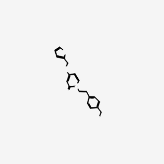 O=c1cc(OCc2ccco2)ccn1CCc1ccc(CO)cc1